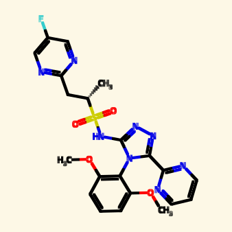 COc1cccc(OC)c1-n1c(NS(=O)(=O)[C@@H](C)Cc2ncc(F)cn2)nnc1-c1ncccn1